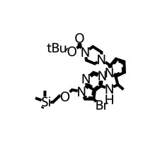 CC(Nc1ncnc2c1c(Br)cn2COCC[Si](C)(C)C)c1cccc(N2CCN(C(=O)OC(C)(C)C)CC2)n1